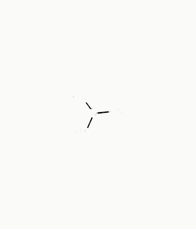 CCCC[SiH](OC(C)=O)OC(C)=O